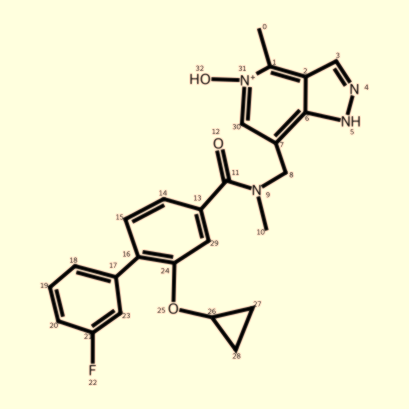 Cc1c2cn[nH]c2c(CN(C)C(=O)c2ccc(-c3cccc(F)c3)c(OC3CC3)c2)c[n+]1O